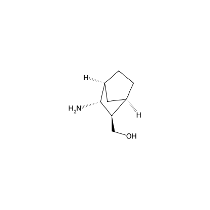 N[C@@H]1[C@H]2CC[C@H](C2)[C@H]1CO